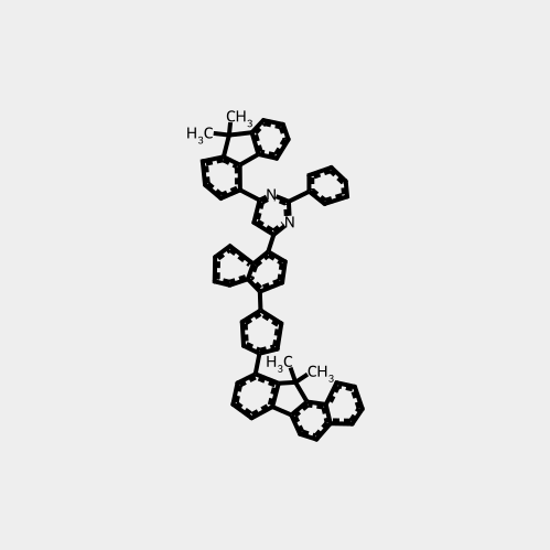 CC1(C)c2ccccc2-c2c(-c3cc(-c4ccc(-c5ccc(-c6cccc7c6C(C)(C)c6c-7ccc7ccccc67)cc5)c5ccccc45)nc(-c4ccccc4)n3)cccc21